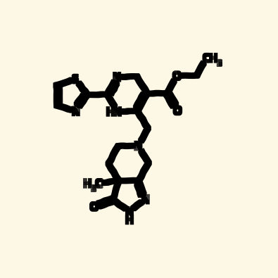 CCOC(=O)C1=C(CN2CCC3(C)C(=O)NN=C3C2)NC(c2nccs2)=NC1